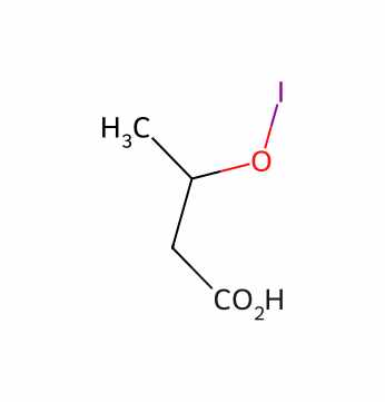 CC(CC(=O)O)OI